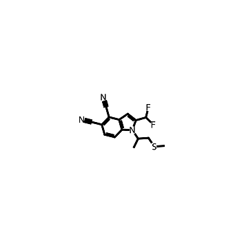 CSCC(C)n1c(C(F)F)cc2c(C#N)c(C#N)ccc21